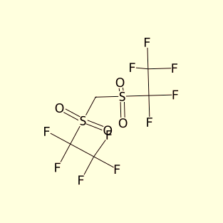 O=S(=O)(CS(=O)(=O)C(F)(F)C(F)(F)F)C(F)(F)C(F)(F)F